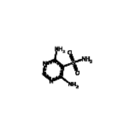 Nc1ncnc(N)c1S(N)(=O)=O